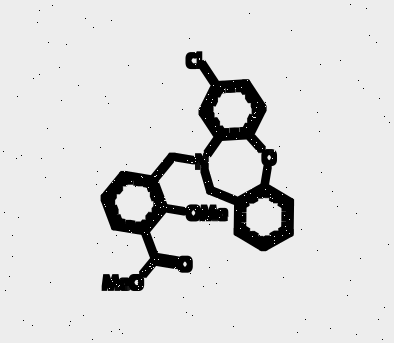 COC(=O)c1cccc(CN2Cc3ccccc3Oc3ccc(Cl)cc32)c1OC